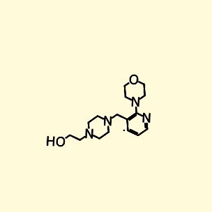 OCCN1CCN(Cc2[c]ccnc2N2CCOCC2)CC1